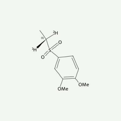 [1H][C@]([2H])(C)S(=O)(=O)c1ccc(OC)c(OC)c1